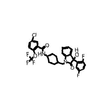 O=C(NC1CCC(CN2C(=O)C(O)(c3cc(F)ccc3F)c3ccccc32)CC1)c1cc(Cl)ccc1OC(F)(F)F